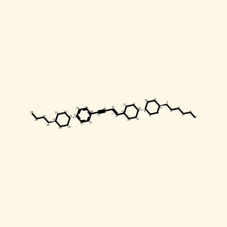 CCCCCC[C@H]1CC[C@H](C2CCC(/C=C/C#Cc3ccc([C@H]4CC[C@H](CCCC)CC4)cc3)CC2)CC1